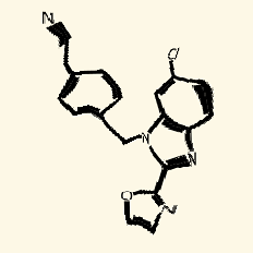 N#Cc1ccc(Cn2c(-c3ncco3)nc3ccc(Cl)cc32)cc1